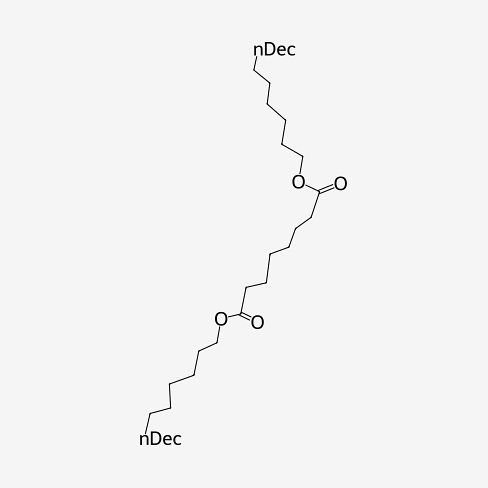 CCCCCCCCCCCCCCCCOC(=O)CCCCCCC(=O)OCCCCCCCCCCCCCCCC